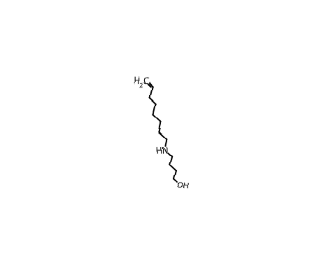 C=CCCCCCCNCCCCO